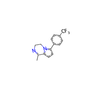 CC1=NCCn2c1ccc2-c1ccc(C(F)(F)F)cc1